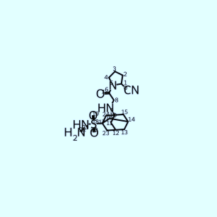 N#CC1CCCN1C(=O)CNC12CC3CC(C1)CC(S(=O)(=O)NN)(C3)C2